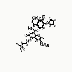 COCC(NC(=O)N1CC(=O)N(COCC[Si](C)(C)C)c2cc(OC)cnc21)c1ccc(-n2cccc2)c(F)c1